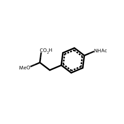 COC(Cc1ccc(NC(C)=O)cc1)C(=O)O